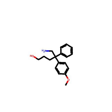 COc1ccc(C(CN)(CCCO)c2ccccc2)cc1